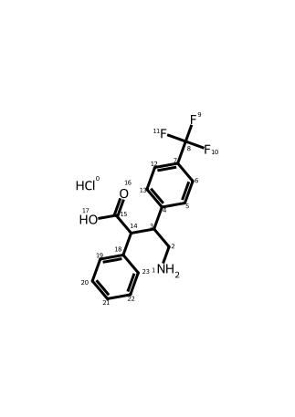 Cl.NCC(c1ccc(C(F)(F)F)cc1)C(C(=O)O)c1ccccc1